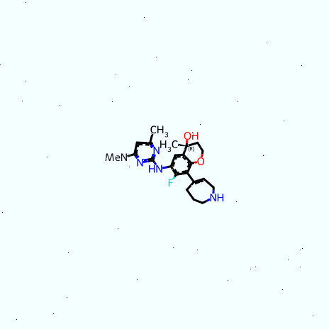 CNc1cc(C)nc(Nc2cc3c(c(C4=CCNCCC4)c2F)OCC[C@@]3(C)O)n1